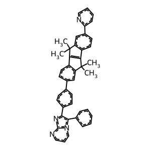 CC1(C)C2=C(c3ccc(-c4ccc(-c5nc6ncccn6c5-c5ccccc5)cc4)cc31)C(C)(C)c1cc(-c3ccccn3)ccc12